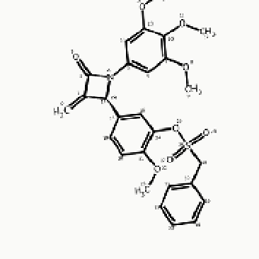 C=C1C(=O)N(c2cc(OC)c(OC)c(OC)c2)[C@H]1c1ccc(OC)c(OS(=O)(=O)Cc2ccccc2)c1